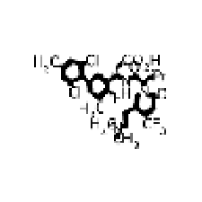 Cc1cc(Cl)c(-c2cc(C)c(F)c([C@H](CC(=O)O)NC(=O)C(C(C)C)n3cc(CCN(C)C)c(C(F)(F)F)cc3=O)c2)c(Cl)c1